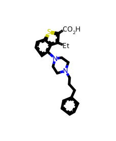 CCc1c(C(=O)O)sc2cccc(N3CCN(CCCc4ccccc4)CC3)c12